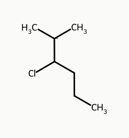 CCCC(Cl)[C](C)C